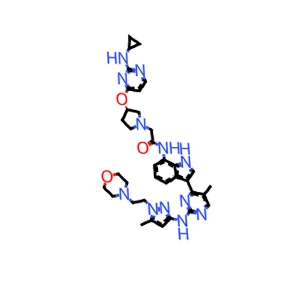 Cc1cnc(Nc2cc(C)n(CCN3CCOCC3)n2)nc1-c1c[nH]c2c(NC(=O)CN3CC[C@H](Oc4ccnc(NC5CC5)n4)C3)cccc12